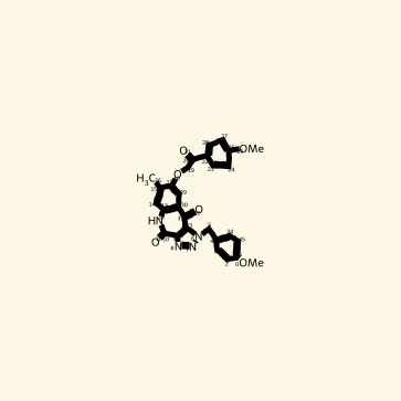 COc1ccc(Cn2nnc3c(=O)[nH]c4cc(C)c(OCC(=O)c5ccc(OC)cc5)cc4c(=O)c32)cc1